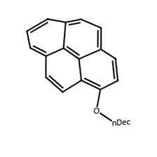 CCCCCCCCCCOc1ccc2ccc3cccc4ccc1c2c34